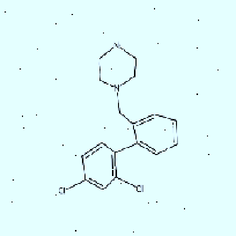 Clc1ccc(-c2ccccc2CN2CC[N]CC2)c(Cl)c1